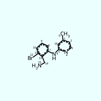 Cc1ccnc(Nc2cccc(Br)c2CN)c1